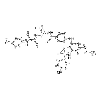 O=C(NC[C@H](NC(=O)c1ccc(Nc2nc(NC3(c4ccc(Cl)cc4)CC3)nc(OCC(F)(F)F)n2)cc1)C(=O)O)C(=O)Nc1ccc(C(F)(F)F)cc1